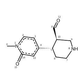 Cn1ccc([C@H]2CCNC[C@@H]2C=O)cc1=O